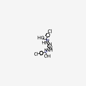 OC/C(=N\Nc1cc(N/N=C(\CO)c2ccc(Cl)cc2)ncn1)C1=CCC(Cl)C=C1